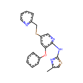 Cc1csc(Nc2ncc(SCc3ccccn3)cc2Oc2ccccc2)n1